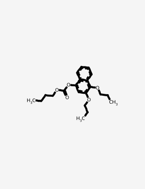 CCCCOC(=O)Oc1cc(OCCC)c(OCCC)c2ccccc12